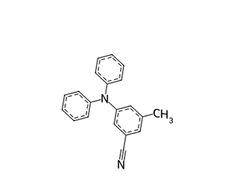 Cc1cc(C#N)cc(N(c2ccccc2)c2ccccc2)c1